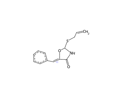 C=CCSC1NC(=O)/C(=C/c2ccccc2)O1